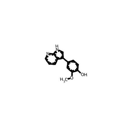 COc1cc(-c2c[nH]c3ncccc23)ccc1O